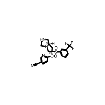 N#Cc1ccc(O[C@@]2(S(=O)(=O)c3cccc(C(F)(F)F)c3)C[C@H]3CNCCN3C2)nc1